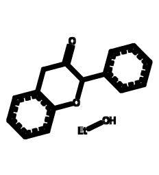 CCO.O=C1Cc2ccccc2OC1c1ccccc1